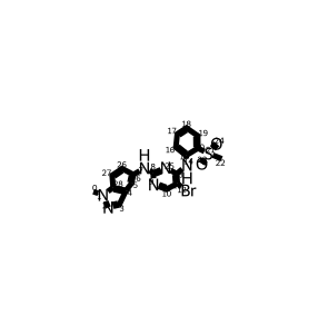 Cn1ncc2cc(Nc3ncc(Br)c(Nc4ccccc4S(C)(=O)=O)n3)ccc21